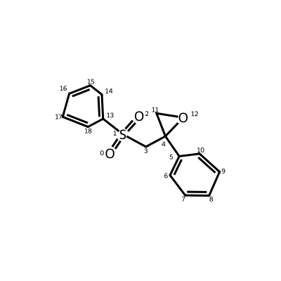 O=S(=O)(CC1(c2ccccc2)CO1)c1ccccc1